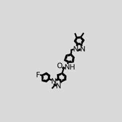 Cc1cc2ncn(Cc3ccc(NC(=O)c4ccc5nc(C)n(-c6ccc(F)cc6)c5c4)cc3)c2cc1C